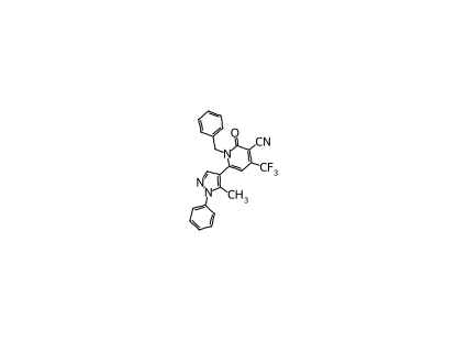 Cc1c(-c2cc(C(F)(F)F)c(C#N)c(=O)n2Cc2ccccc2)cnn1-c1ccccc1